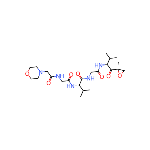 CC(C)[C@H](NC(=O)CNC(=O)CN1CCOCC1)C(=O)NCC(=O)N[C@H](C(=O)[C@@]1(C)CO1)C(C)C